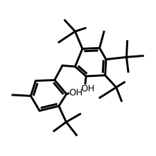 Cc1cc(Cc2c(O)c(C(C)(C)C)c(C(C)(C)C)c(C)c2C(C)(C)C)c(O)c(C(C)(C)C)c1